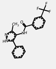 Cc1n[nH]c(-c2ccccc2)c1NC(=O)c1cccc(C(F)(F)F)c1